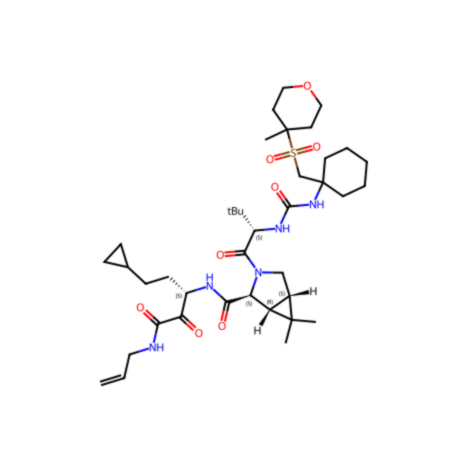 C=CCNC(=O)C(=O)[C@H](CCC1CC1)NC(=O)[C@@H]1[C@@H]2[C@H](CN1C(=O)[C@@H](NC(=O)NC1(CS(=O)(=O)C3(C)CCOCC3)CCCCC1)C(C)(C)C)C2(C)C